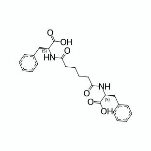 O=C(CCCCC(=O)N[C@@H](Cc1ccccc1)C(=O)O)N[C@@H](Cc1ccccc1)C(=O)O